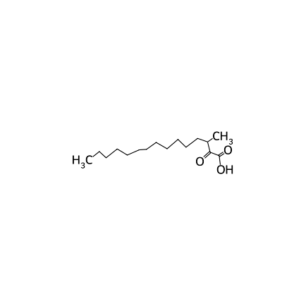 CCCCCCCCCCCCC(C)C(=O)C(=O)O